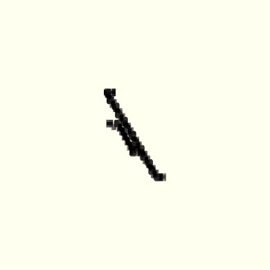 CCCCCCCCCCCC(=O)O.OCCOCCOCCOCCOCCOCCOCCOCCOCCOCCOCCOCCO